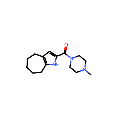 CN1CCN(C(=O)c2cc3c([nH]2)CCCCC3)CC1